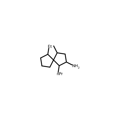 CCCC1C(N)CC(C)C12CCCC2CC